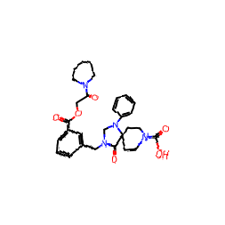 O=C(OCC(=O)N1CCCCC1)c1cccc(CN2CN(c3ccccc3)C3(CCN(C(=O)O)CC3)C2=O)c1